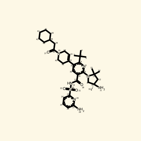 CC(C)(C)c1nc(N2C[C@](C)(N)CC2(C)C)c(C(=O)NS(=O)(=O)c2cccc(N)n2)cc1C1=CCN(C(=O)CC2CCCCC2)CC1